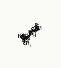 C=C/N=C(\C(Cl)=C(/C)C(=O)NCc1ncc(C(=O)Nc2ccc(Cl)c(C(F)(F)F)c2)s1)N1CCOCC1